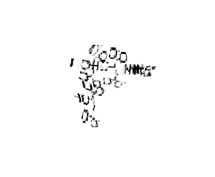 O=C([O-])CC(O)C(=O)[O-].O=C([O-])CC(O)C(=O)[O-].O=C([O-])CC(O)C(=O)[O-].[NH4+].[NH4+].[Zr+4]